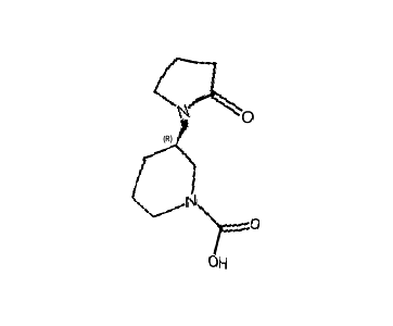 O=C(O)N1CCC[C@@H](N2CCCC2=O)C1